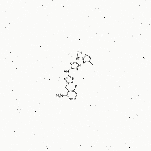 Cc1csc([C@](C)(O)c2nnc(Nc3ccn(Cc4c(N)cccc4F)n3)s2)n1